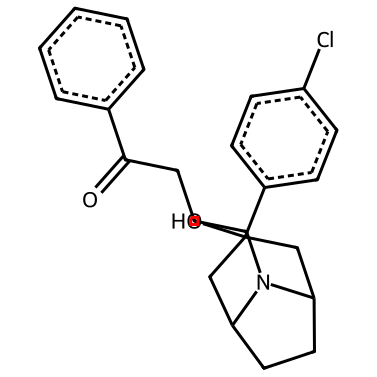 O=C(CCCN1C2CCC1CC(O)(c1ccc(Cl)cc1)C2)c1ccccc1